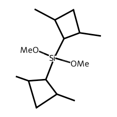 CO[Si](OC)(C1C(C)CC1C)C1C(C)CC1C